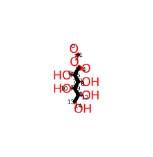 O=COC(=O)[C@H](O)[C@@H](O)[C@H](O)[C@H](O)CO